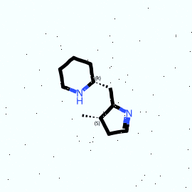 C[C@H]1CC=NC1C[C@H]1CCCCN1